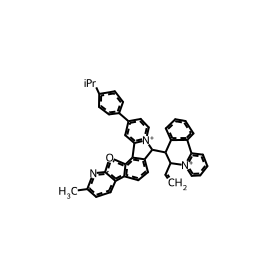 C=CC1C(C2c3ccc4c(oc5nc(C)ccc54)c3-c3cc(-c4ccc(C(C)C)cc4)cc[n+]32)c2ccccc2-c2cccc[n+]21